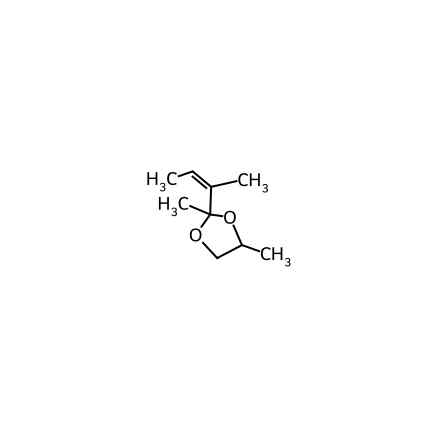 C/C=C(/C)C1(C)OCC(C)O1